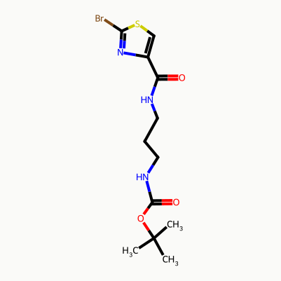 CC(C)(C)OC(=O)NCCCNC(=O)c1csc(Br)n1